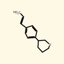 O=C(O)C=Cc1ccc(C2CCCOC2)cc1